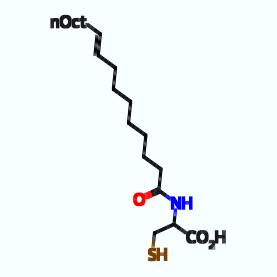 CCCCCCCCC=CCCCCCCCC(=O)NC(CS)C(=O)O